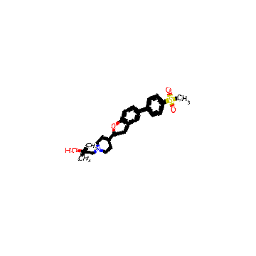 CC(C)(O)CN1CCC(C2Cc3cc(-c4ccc(S(C)(=O)=O)cc4)ccc3O2)CC1